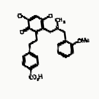 COc1ccccc1CN(C)Cc1c(Cl)cc(Cl)c(=O)n1CCc1ccc(C(=O)O)cc1